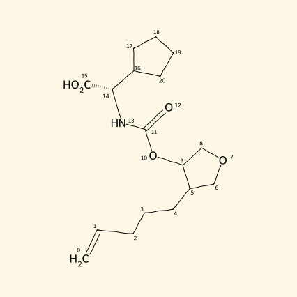 C=CCCCC1COCC1OC(=O)N[C@H](C(=O)O)C1CCCC1